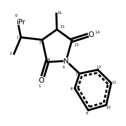 CC(C)C(C)C1C(=O)N(c2ccccc2)C(=O)C1C